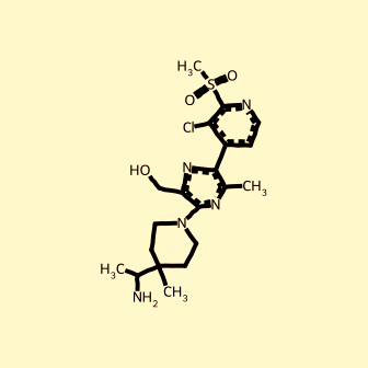 Cc1nc(N2CCC(C)(C(C)N)CC2)c(CO)nc1-c1ccnc(S(C)(=O)=O)c1Cl